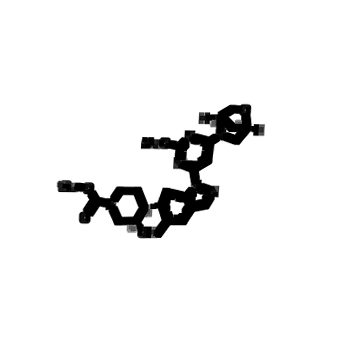 COc1nc(N2C[C@H]3C[C@@H]2CO3)cc(-n2ncc3cc(C)c([C@H]4CCN(C(=O)OC(C)(C)C)C[C@H]4O)cc32)n1